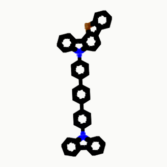 c1ccc2c(c1)sc1c2ccc2c1c1ccccc1n2-c1ccc(-c2ccc(-c3ccc(-n4c5ccccc5c5ccccc54)cc3)cc2)cc1